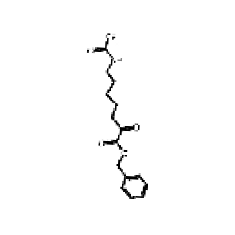 O=C(CCCCCNC(=O)C(F)(F)F)C(=O)OCc1ccccc1